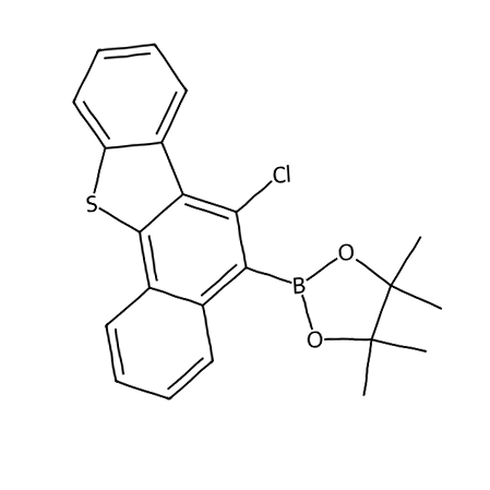 CC1(C)OB(c2c(Cl)c3c4ccccc4sc3c3ccccc23)OC1(C)C